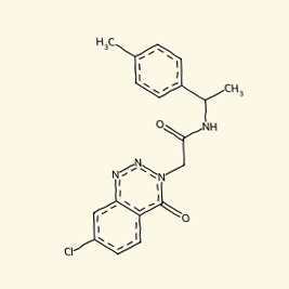 Cc1ccc(C(C)NC(=O)Cn2nnc3cc(Cl)ccc3c2=O)cc1